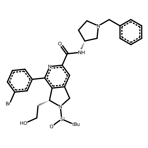 CC(C)(C)[S+]([O-])N1Cc2cc(C(=O)N[C@@H]3CCN(Cc4ccccc4)C3)nc(-c3cccc(Br)c3)c2[C@H]1CCO